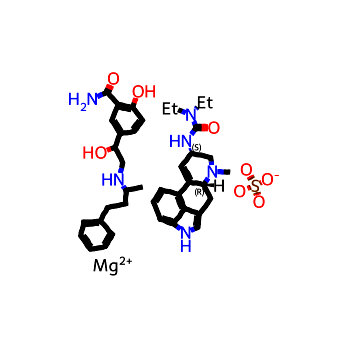 CC(CCc1ccccc1)NCC(O)c1ccc(O)c(C(N)=O)c1.CCN(CC)C(=O)N[C@H]1C=C2c3cccc4[nH]cc(c34)C[C@H]2N(C)C1.O=S(=O)([O-])[O-].[Mg+2]